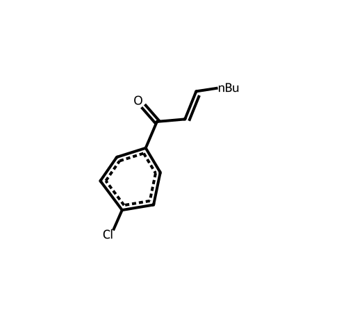 CCCCC=CC(=O)c1ccc(Cl)cc1